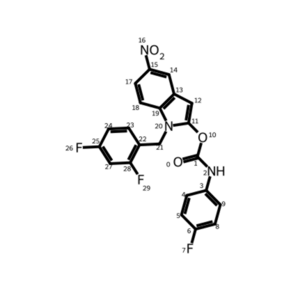 O=C(Nc1ccc(F)cc1)Oc1cc2cc([N+](=O)[O-])ccc2n1Cc1ccc(F)cc1F